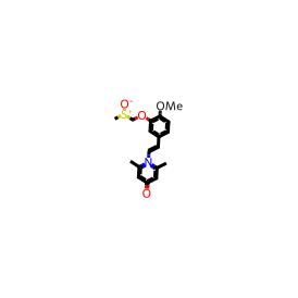 COc1ccc(/C=C/n2c(C)cc(=O)cc2C)cc1OC[S+](C)[O-]